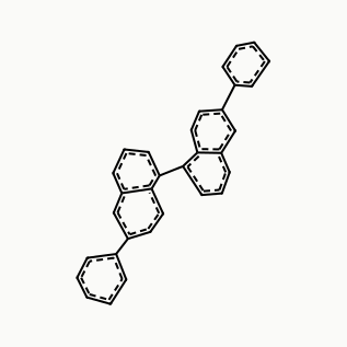 c1ccc(-c2ccc3c(-c4cccc5cc(-c6ccccc6)ccc45)cccc3c2)cc1